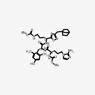 Cc1cc(O)cc(C)c1C[C@H](NC(=O)[C@@H](CCCn1ccnc1N)NC(=O)OC(C)(C)C)C(=O)N[C@@H](CCCNC(=O)OC(C)(C)C)c1nc(CC23CCC(CC2)CC3)no1